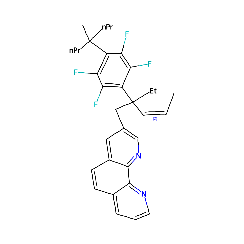 C/C=C\C(CC)(Cc1cnc2c(ccc3cccnc32)c1)c1c(F)c(F)c(C(C)(CCC)CCC)c(F)c1F